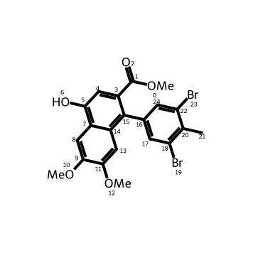 COC(=O)c1cc(O)c2cc(OC)c(OC)cc2c1-c1cc(Br)c(C)c(Br)c1